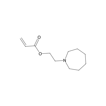 C=CC(=O)OCCN1CCCCCC1